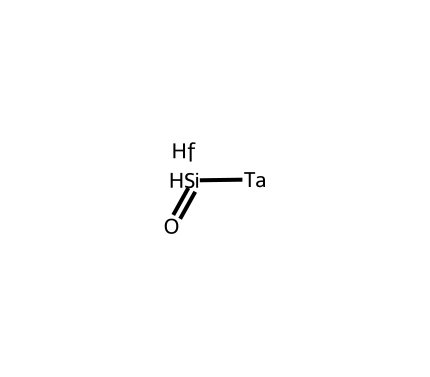 O=[SiH][Ta].[Hf]